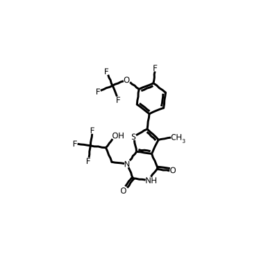 Cc1c(-c2ccc(F)c(OC(F)(F)F)c2)sc2c1c(=O)[nH]c(=O)n2CC(O)C(F)(F)F